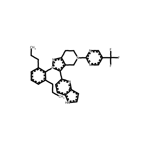 CCCc1cccc(CCC)c1-n1nc2c(c1-c1ccc3[nH]ccc3n1)CN(c1ncc(C(F)(F)F)cn1)CC2